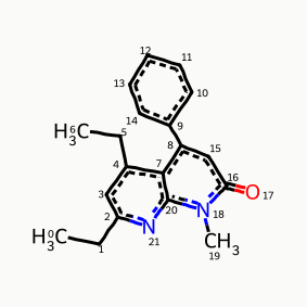 CCc1cc(CC)c2c(-c3ccccc3)cc(=O)n(C)c2n1